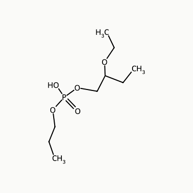 CCCOP(=O)(O)OCC(CC)OCC